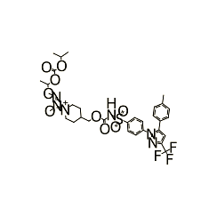 Cc1ccc(-c2cc(C(F)(F)F)nn2-c2ccc(S(=O)(=O)NC(=O)OCC3CCN([N+]([O-])=NOC(C)OC(=O)OC(C)C)CC3)cc2)cc1